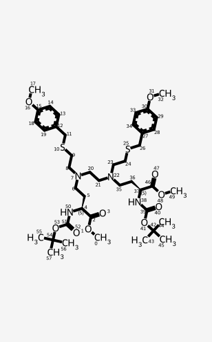 COC(=O)[C@H](CCN(CCSCc1ccc(OC)cc1)CCN(CCSCc1ccc(OC)cc1)CC[C@H](NC(=O)OC(C)(C)C)C(=O)OC)NC(=O)OC(C)(C)C